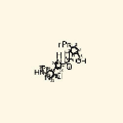 CCCc1ccc(CO)c(CNC(=O)c2cc(-c3cc(NC(C)C)ncc3Cl)c[nH]2)c1